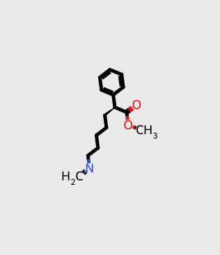 C=NCCCCC[C@H](C(=O)OC)c1ccccc1